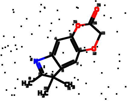 CC1=Nc2cc3c(cc2C1(C)C)OCC(=O)O3